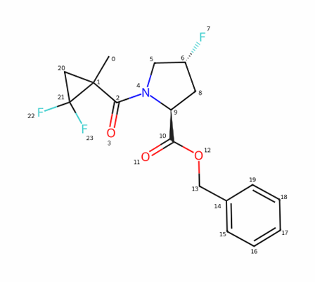 CC1(C(=O)N2C[C@H](F)C[C@H]2C(=O)OCc2ccccc2)CC1(F)F